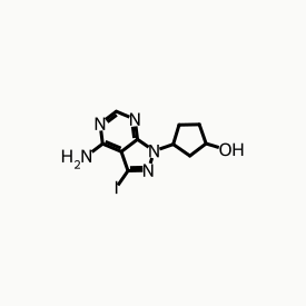 Nc1ncnc2c1c(I)nn2C1CCC(O)C1